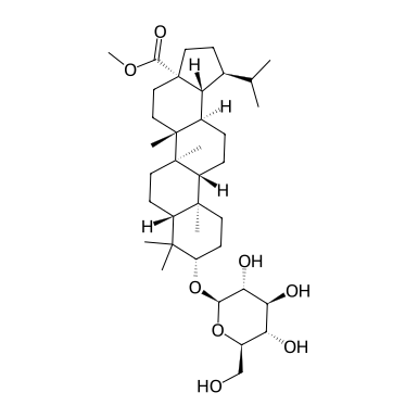 COC(=O)[C@]12CC[C@@H](C(C)C)[C@@H]1[C@H]1CC[C@@H]3[C@@]4(C)CC[C@H](O[C@@H]5O[C@H](CO)[C@@H](O)[C@H](O)[C@H]5O)C(C)(C)[C@@H]4CC[C@@]3(C)[C@]1(C)CC2